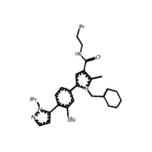 Cc1c(C(=O)NCCC(C)C)cc(-c2ccc(-c3ccnn3C(C)C)c(C(C)(C)C)c2)n1CC1CCCCC1